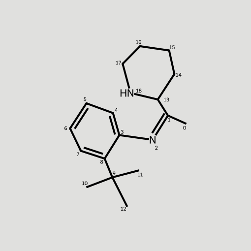 CC(=Nc1ccccc1C(C)(C)C)C1CCCCN1